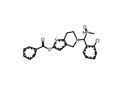 C[PH](=O)C(c1ccccc1Cl)N1CCc2sc(OC(=O)c3ccccc3)cc2C1